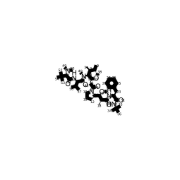 CC[C@H](C)[C@@H]([C@@H](CC(=O)N1CCC[C@H]1[C@H](OC)[C@@H](C)C(=O)N[C@@H](Cc1ccccc1)C(=O)NC(C)(C)C)OC)N(C)C(=O)[C@@H](NC(=O)[C@@H](N(C)C)C(C)(C)C)C(C)C